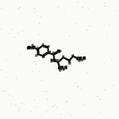 COc1ccc(C(=O)NC(CSCC(=O)O)C(=O)O)cc1